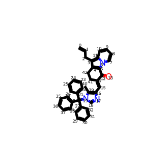 C=CCc1c2c(n3ccccc13)C(=O)C(=Cc1ncn(C(c3ccccc3)(c3ccccc3)c3ccccc3)c1C)CC2